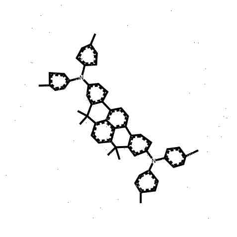 Cc1ccc(N(c2ccc(C)cc2)c2ccc3c(c2)C(C)(C)c2ccc4c5c(ccc-3c25)-c2ccc(N(c3ccc(C)cc3)c3ccc(C)cc3)cc2C4(C)C)cc1